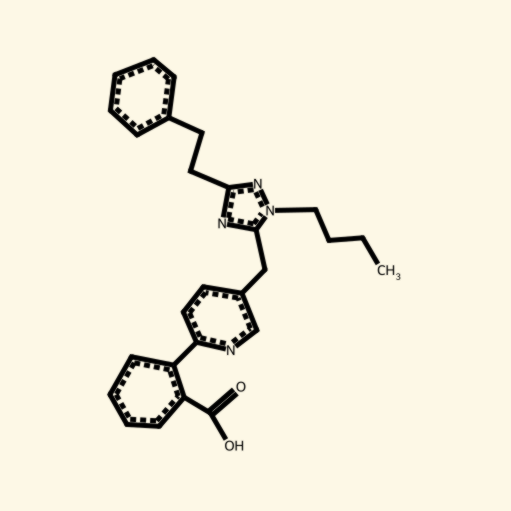 CCCCn1nc(CCc2ccccc2)nc1Cc1ccc(-c2ccccc2C(=O)O)nc1